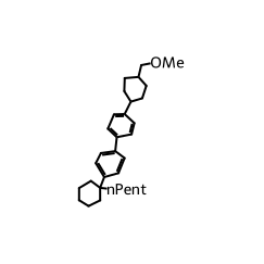 CCCCCC1(c2ccc(-c3ccc(C4CCC(COC)CC4)cc3)cc2)CCCCC1